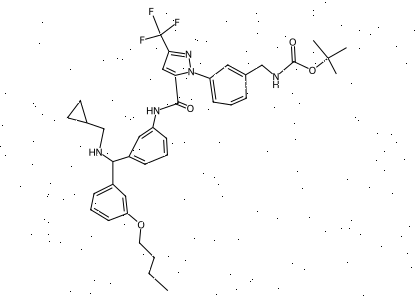 CCCCOc1cccc(C(NCC2CC2)c2cccc(NC(=O)c3cc(C(F)(F)F)nn3-c3cccc(CNC(=O)OC(C)(C)C)c3)c2)c1